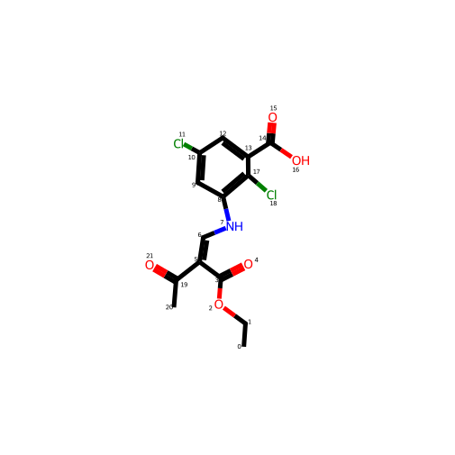 CCOC(=O)C(=CNc1cc(Cl)cc(C(=O)O)c1Cl)C(C)=O